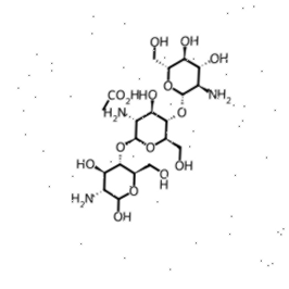 CC(=O)O.N[C@H]1[C@H](O[C@H]2[C@H](O)[C@@H](N)[C@H](O[C@H]3[C@H](O)[C@@H](N)C(O)O[C@@H]3CO)O[C@@H]2CO)O[C@H](CO)[C@@H](O)[C@@H]1O